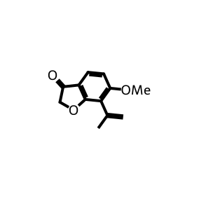 C=C(C)c1c(OC)ccc2c1OCC2=O